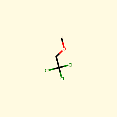 [C]OCC(Cl)(Cl)Cl